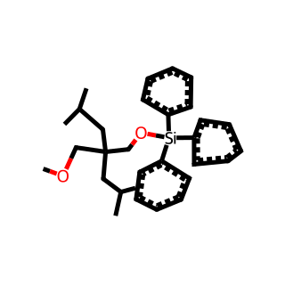 COCC(CO[Si](c1ccccc1)(c1ccccc1)c1ccccc1)(CC(C)C)CC(C)C